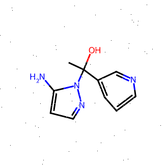 CC(O)(c1cccnc1)n1nccc1N